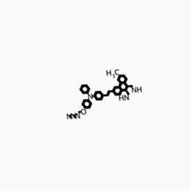 Cc1ccc2c(C=N)c(C=N)c3ccc(/C=C/c4ccc(N(c5ccccc5)c5ccc(OCN=[N+]=[N-])cc5)cc4)cc3c2c1